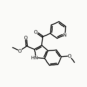 COC(=O)c1[nH]c2ccc(OC)cc2c1C(=O)c1cccnc1